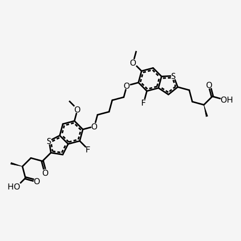 COc1cc2sc(CC[C@H](C)C(=O)O)cc2c(F)c1OCCCCOc1c(OC)cc2sc(C(=O)C[C@H](C)C(=O)O)cc2c1F